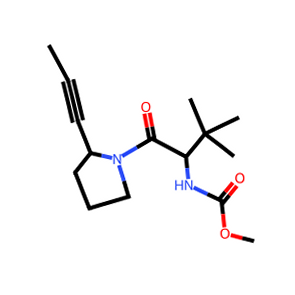 CC#CC1CCCN1C(=O)C(NC(=O)OC)C(C)(C)C